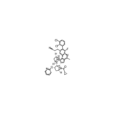 Cc1nc2c(F)c(-c3cccc(Cl)c3Cl)c(CCC#N)cc2c2c1cc([C@H]1[C@H]3C[C@H](C[C@@H]3Oc3ccccn3)N1C(=O)C1CC1)n2C1[C@H]2CN[C@@H]1C2